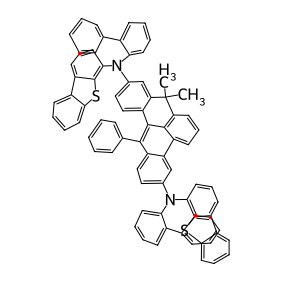 CC1(C)c2cc(N(c3ccccc3-c3ccccc3)c3cccc4c3sc3ccccc34)ccc2-c2c(-c3ccccc3)c3ccc(N(c4ccccc4-c4ccccc4)c4cccc5c4sc4ccccc45)cc3c3cccc1c23